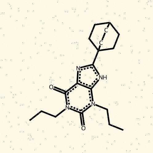 CCCn1c(=O)c2nc(C34CCC(CC3)CC4)[nH]c2n(CCC)c1=O